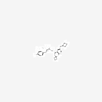 CC(=O)N[C@@H](Cc1ccc(F)cc1)[C@@H](O)CN[C@H]1CC2(CCC2)Oc2ncc(CC3CCC3)cc21